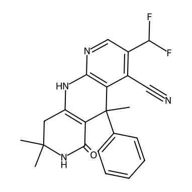 CC1(C)CC2=C(C(=O)N1)C(C)(c1ccccc1)c1c(ncc(C(F)F)c1C#N)N2